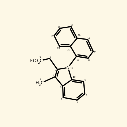 CCOC(=O)Cc1c(C)c2ccccc2n1-c1cccc2ccccc12